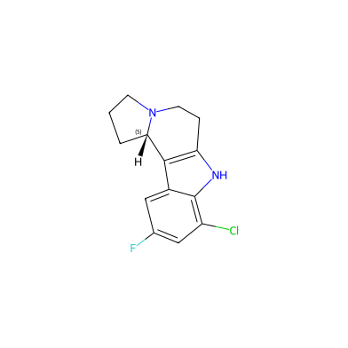 Fc1cc(Cl)c2[nH]c3c(c2c1)[C@@H]1CCCN1CC3